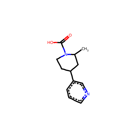 CC1CC(c2cccnc2)CCN1C(=O)O